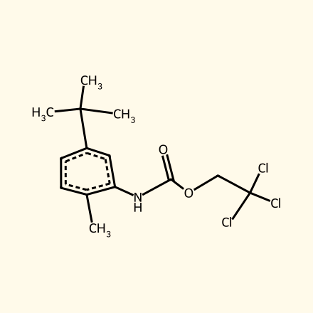 Cc1ccc(C(C)(C)C)cc1NC(=O)OCC(Cl)(Cl)Cl